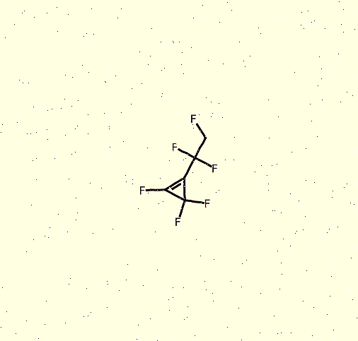 FCC(F)(F)C1=C(F)C1(F)F